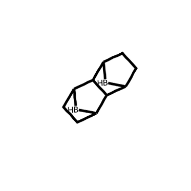 B1C2CCC1C1C3BC(CC3)C21